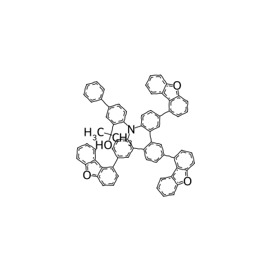 CC(C)(O)c1cc(-c2ccccc2)ccc1N1c2ccc(-c3cccc4oc5ccccc5c34)cc2-c2ccc(-c3cccc4oc5ccccc5c34)cc2-c2cc(-c3cccc4oc5ccccc5c34)ccc21